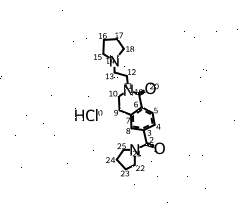 Cl.O=C(c1ccc2c(c1)CCN(CCN1CCCC1)C2=O)N1CCCC1